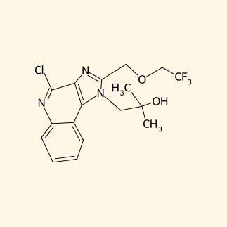 CC(C)(O)Cn1c(COCC(F)(F)F)nc2c(Cl)nc3ccccc3c21